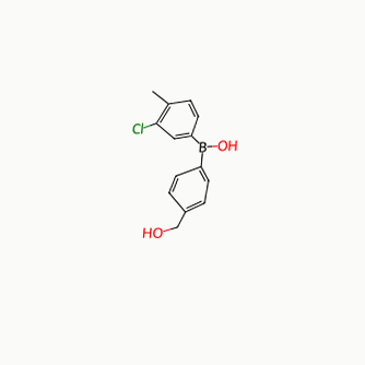 Cc1ccc(B(O)c2ccc(CO)cc2)cc1Cl